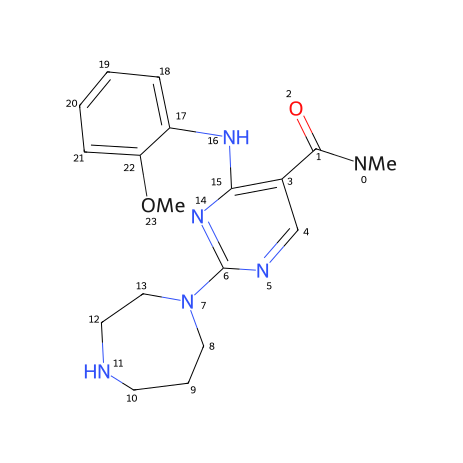 CNC(=O)c1cnc(N2CCCNCC2)nc1Nc1ccccc1OC